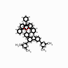 Cc1nc(C)nc(-c2ccc3c(c2)c2cc(-c4nc(C)nc(C)n4)ccc2n3-c2cccc(-c3nc(-c4ccccc4)cc(-c4ccccc4)n3)c2-c2ccccc2-n2c3ccccc3c3ccccc32)n1